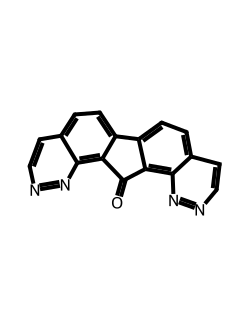 O=C1c2c(ccc3ccnnc23)-c2ccc3ccnnc3c21